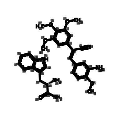 COc1ccc(C=C(C#N)c2cc(OC)c(OC)c(OC)c2)cc1N.NC(=O)[C@@H](N)Cc1c[nH]c2ccccc12